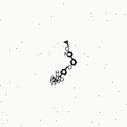 O=C(NS(=O)(=O)C(F)(F)F)c1ccc(COc2cccc(-c3ccc(OCC4CC4)nc3)c2)cc1